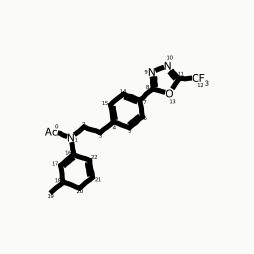 CC(=O)N(CCc1ccc(-c2nnc(C(F)(F)F)o2)cc1)C1=CC(C)CC=C1